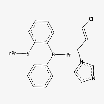 CCCSc1ccccc1B(c1ccccc1)C(C)C.ClC=CCn1ccnc1